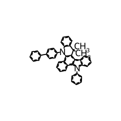 CC1(C)c2ccccc2N(c2ccc(-c3ccccc3)cc2)c2c1c1c3ccccc3n(-c3ccccc3)c1c1ccccc21